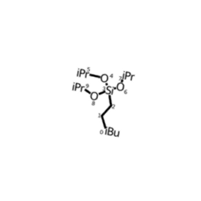 CCC(C)CC[Si](OC(C)C)(OC(C)C)OC(C)C